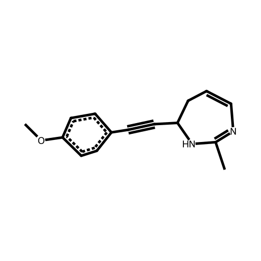 COc1ccc(C#CC2CC=CN=C(C)N2)cc1